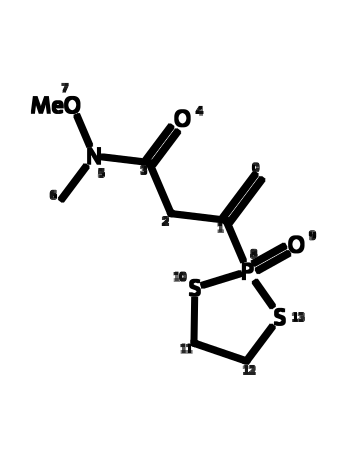 C=C(CC(=O)N(C)OC)P1(=O)SCCS1